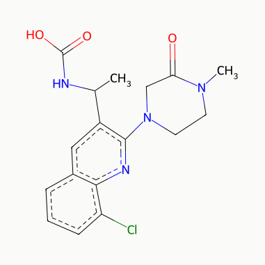 CC(NC(=O)O)c1cc2cccc(Cl)c2nc1N1CCN(C)C(=O)C1